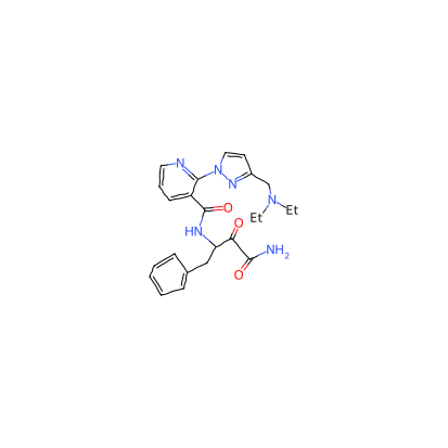 CCN(CC)Cc1ccn(-c2ncccc2C(=O)NC(Cc2ccccc2)C(=O)C(N)=O)n1